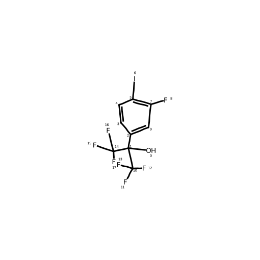 OC(c1ccc(I)c(F)c1)(C(F)(F)F)C(F)(F)F